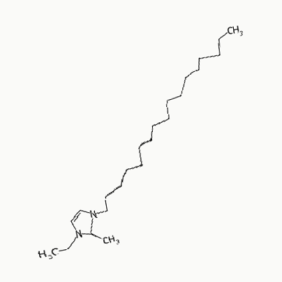 CCCCCCCCCCCCCCCCCN1C=CN(CC)C1C